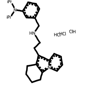 CC(C)N(c1cccc(CNCCc2c3c(n4ccccc24)CCCC3)c1)C(C)C.Cl.Cl.Cl